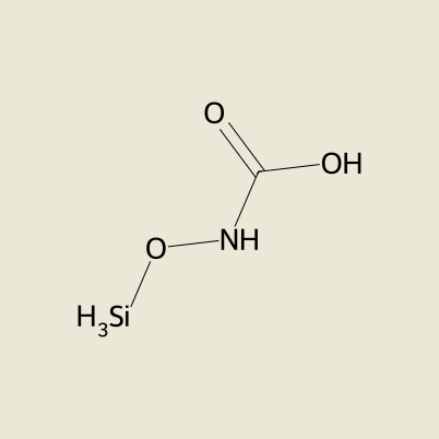 O=C(O)NO[SiH3]